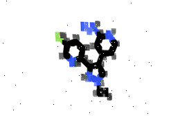 Cn1cc(-c2ccnc(N)c2)c(-c2ccc(F)cn2)n1